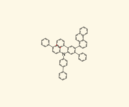 c1ccc(-c2ccc(N(c3ccc(-c4ccccc4)cc3)c3cc(-c4ccccc4)c(-c4cccc5c4ccc4ccccc45)cc3-c3ccccc3)cc2)cc1